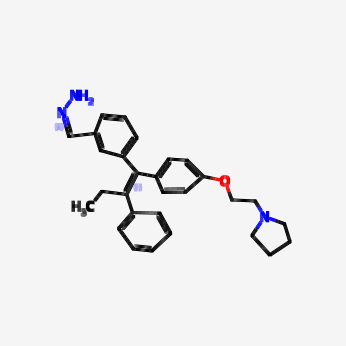 CC/C(=C(/c1ccc(OCCN2CCCC2)cc1)c1cccc(/C=N\N)c1)c1ccccc1